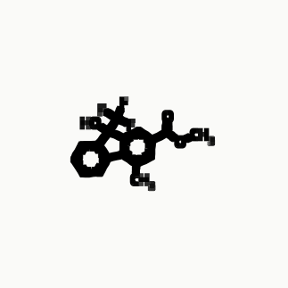 COC(=O)c1cc(C)c2c(c1)C(O)(C(F)(F)F)c1ccccc1-2